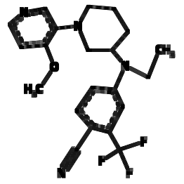 CCN(c1ccc(C#N)c(C(F)(F)F)c1)C1CCCN(c2cnccc2OC)C1